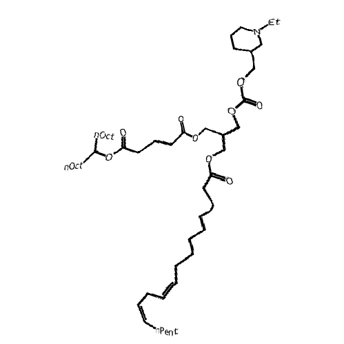 CCCCC/C=C\C/C=C\CCCCCCCC(=O)OCC(COC(=O)CCCC(=O)OC(CCCCCCCC)CCCCCCCC)COC(=O)OCC1CCCN(CC)C1